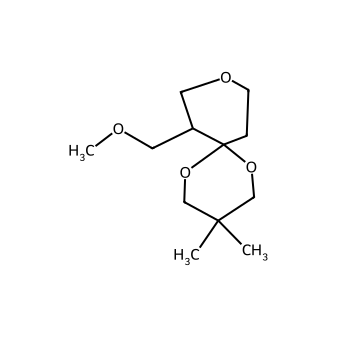 COCC1COCCC12OCC(C)(C)CO2